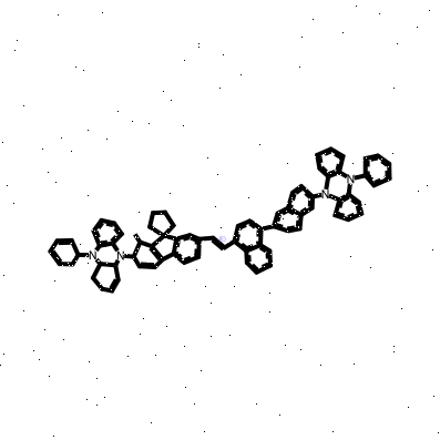 CC1C2=C(C=CC1N1c3ccccc3N(C3C=CC=CC3)C3CCC=CC31)c1ccc(/C=C/c3ccc(-c4ccc5cc(N6c7ccccc7N(c7ccccc7)c7ccccc76)ccc5c4)c4ccccc34)cc1C21CCCC1